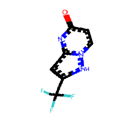 O=c1ccn2[nH]c(C(F)(F)F)cc2n1